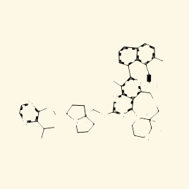 C#Cc1c(F)ccc2cccc(-c3nc4c5c(nc(OC[C@@]67CCCN6[C@H](COc6nccnc6C(F)F)CC7)nc5c3F)N3CCN[C@@H](CC)[C@H]3CCC4)c12